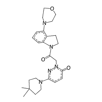 CC1(C)CCN(c2ccc(=O)n(CC(=O)N3CCc4c(N5CCOCC5)cccc43)n2)CC1